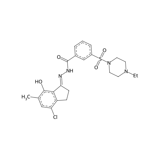 CCN1CCN(S(=O)(=O)c2cccc(C(=O)N/N=C3\CCc4c(Cl)cc(C)c(O)c43)c2)CC1